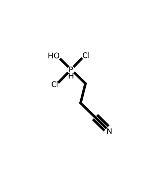 N#CCC[PH](O)(Cl)Cl